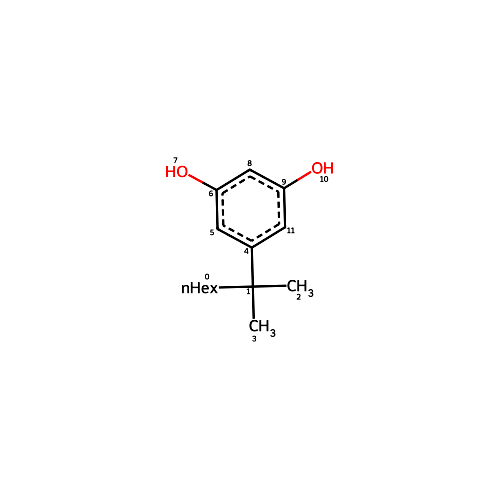 CCCCCCC(C)(C)c1cc(O)cc(O)c1